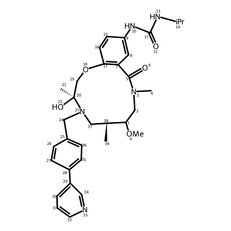 COC1CN(C)C(=O)c2cc(NC(=O)NC(C)C)ccc2OC[C@](C)(O)N(Cc2ccc(-c3cccnc3)cc2)C[C@@H]1C